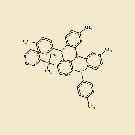 Cc1ccc(N2c3ccc(C)cc3B3c4cc(C)ccc4N(c4ccc(C)cc4)c4c([Si](C)(C)c5ccccc5)ccc2c43)cc1